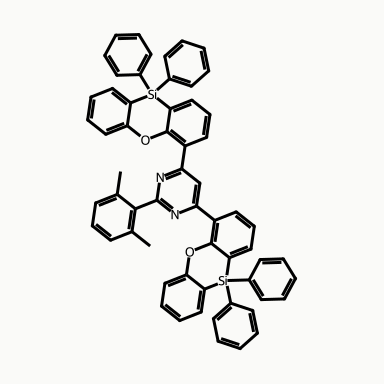 Cc1cccc(C)c1-c1nc(-c2cccc3c2Oc2ccccc2[Si]3(c2ccccc2)c2ccccc2)cc(-c2cccc3c2Oc2ccccc2[Si]3(c2ccccc2)c2ccccc2)n1